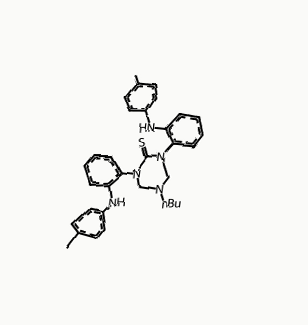 CCCCN1CN(c2ccccc2Nc2ccc(C)cc2)C(=S)N(c2ccccc2Nc2ccc(C)cc2)C1